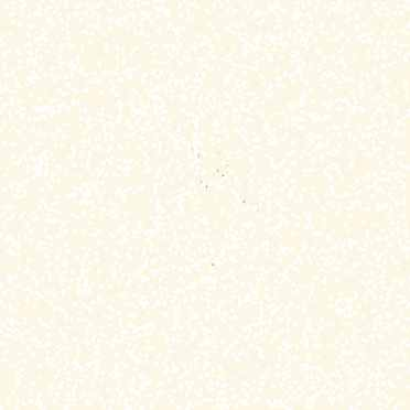 CCOCCN(CC)C(=O)n1cnc(S(=O)(=O)CC)n1